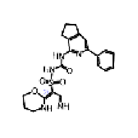 N=C/C(=C1\NCCCO1)S(=O)(=O)NC(=O)Nc1nc(-c2ccccc2)cc2c1CCC2